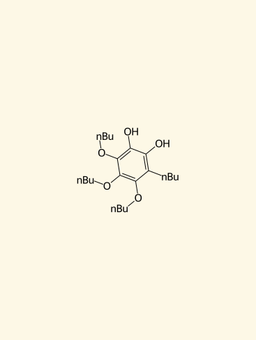 CCCCOc1c(O)c(O)c(CCCC)c(OCCCC)c1OCCCC